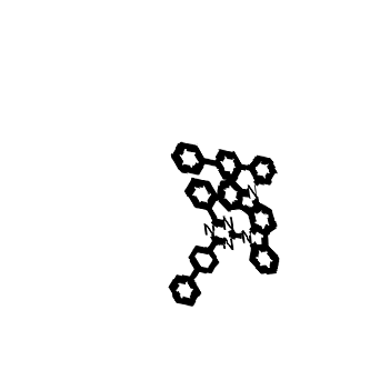 C1=C(c2ccccc2)CCC(c2nc(-c3ccccc3)nc(-n3c4ccccc4c4ccc5c(c6ccccc6n5-c5ccccc5-c5ccc(-c6ccccc6)cc5)c43)n2)=C1